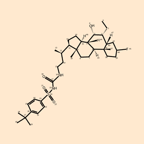 CC[C@H]1[C@@H](O)[C@@H]2[C@H](CC[C@]3(C)[C@@H]([C@H](C)CCNC(=O)NS(=O)(=O)c4ccc(C(C)(C)C)cc4)CC[C@@H]23)[C@@]2(C)CCC(F)C[C@@H]12